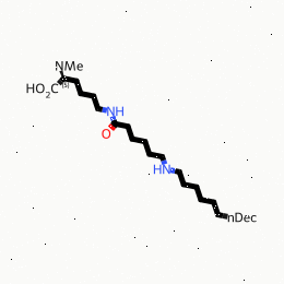 CCCCCCCCCCCCCCCCNCCCCCC(=O)NCCCC[C@H](NC)C(=O)O